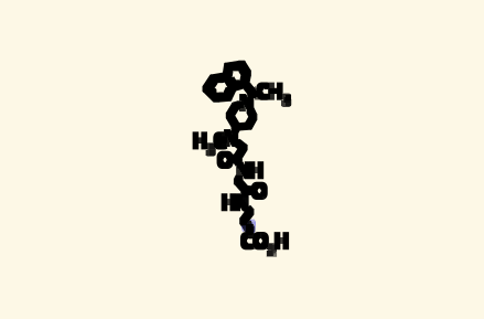 C[C@H](c1cccc2ccccc12)N1CCC(N(C)CC(=O)NCC(=O)NC/C=C/C(=O)O)CC1